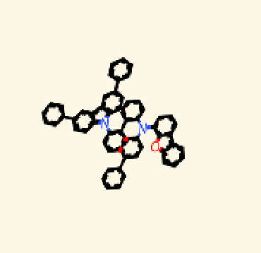 c1ccc(-c2ccc(N(c3ccccc3-c3ccccc3-n3c4ccc(-c5ccccc5)cc4c4cc(-c5ccccc5)ccc43)c3cccc4c3oc3ccccc34)cc2)cc1